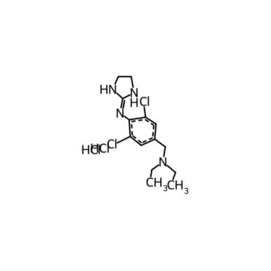 CCN(CC)Cc1cc(Cl)c(N=C2NCCN2)c(Cl)c1.Cl.Cl